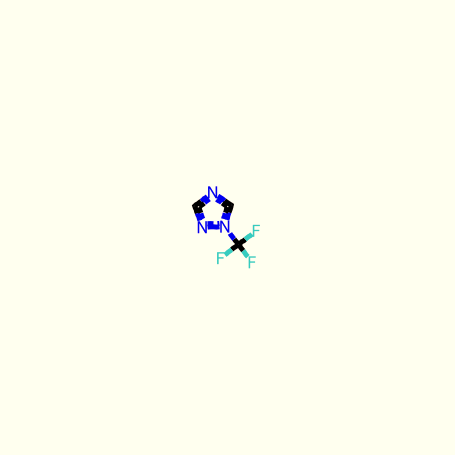 FC(F)(F)n1cncn1